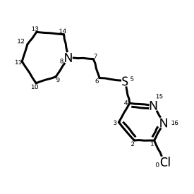 Clc1ccc(SCCN2CCCCCC2)nn1